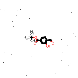 CC(C)(C)OC(=O)c1ccc(C=O)c(O)c1